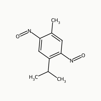 Cc1cc(N=O)c(C(C)C)cc1N=O